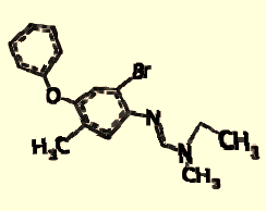 CCN(C)C=Nc1cc(C)c(Oc2ccccc2)cc1Br